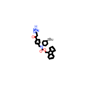 CC(C)(C)C1CCC(N(Cc2ccc(C(=O)Cc3nn[nH]n3)cc2)C(=O)OCC2c3ccccc3-c3ccccc32)CC1